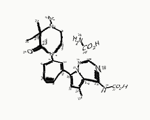 CC(=O)N1CCN(c2cccc(-c3cc(I)c4c(NC(=O)O)ncnn34)c2)C(=O)C1(C)C.NC(=O)O